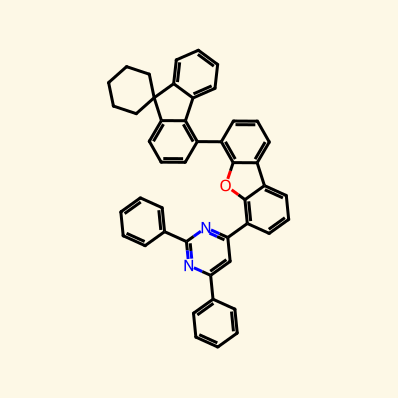 c1ccc(-c2cc(-c3cccc4c3oc3c(-c5cccc6c5-c5ccccc5C65CCCCC5)cccc34)nc(-c3ccccc3)n2)cc1